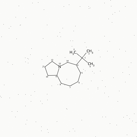 CC(C)(C)C1CCCCC2CCCN2C1